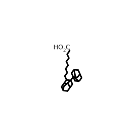 O=C(O)CCCCCCCCC1C2CC3CC(C2)CC1(C12CC4CC(CC(C4)C1)C2)C3